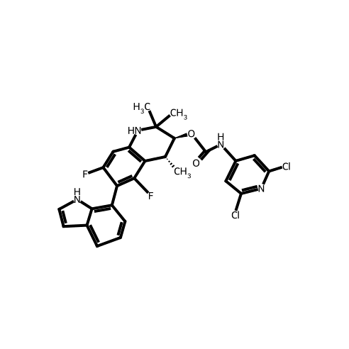 C[C@@H]1c2c(cc(F)c(-c3cccc4cc[nH]c34)c2F)NC(C)(C)[C@H]1OC(=O)Nc1cc(Cl)nc(Cl)c1